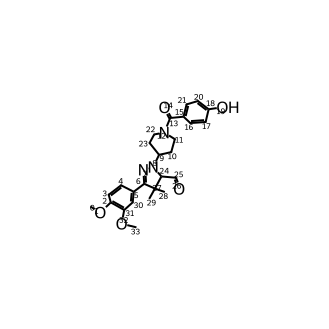 COc1ccc(C2=NN(C3CCN(C(=O)c4ccc(O)cc4)CC3)C(C=O)C2(C)C)cc1OC